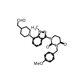 COc1ccc(CN2C(=O)CCN(c3nn(C)c4c(N5CCC(CC=O)CC5)cccc34)C2=O)cc1